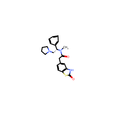 CN(C(=O)Cc1ccc2sc(=O)[nH]c2c1)[C@H](CN1CCCC1)c1ccccc1